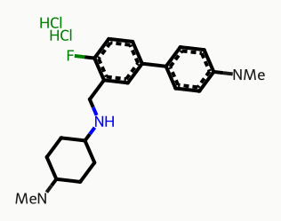 CNc1ccc(-c2ccc(F)c(CNC3CCC(NC)CC3)c2)cc1.Cl.Cl